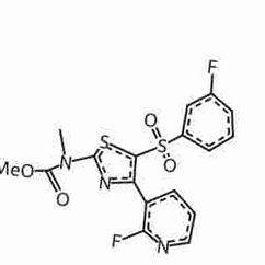 COC(=O)N(C)c1nc(-c2cccnc2F)c(S(=O)(=O)c2cccc(F)c2)s1